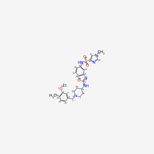 CCOc1cc(CN2CCC(Nc3nc4cc(NS(=O)(=O)c5cn(C)cn5)ccc4o3)CC2)ccc1C